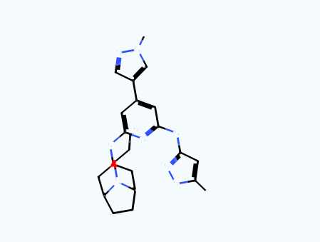 Cc1cc(Nc2cc(-c3cnn(C)c3)cc(NC3CC4CCC(C3)N4CCC#N)n2)n[nH]1